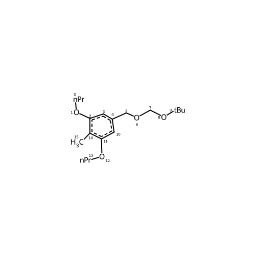 CCCOc1cc(COCOC(C)(C)C)cc(OCCC)c1C